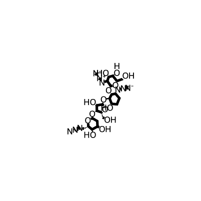 [N-]=[N+]=NC[C@@H]1O[C@H](O[C@@H]2C(O)[C@H](O[C@@H]3C(O)CCC(N=[N+]=[N-])[C@H]3O[C@H]3OC(CO)[C@@H](O)[C@H](O)C3N=[N+]=[N-])O[C@@H]2CO)CC(O)[C@@H]1O